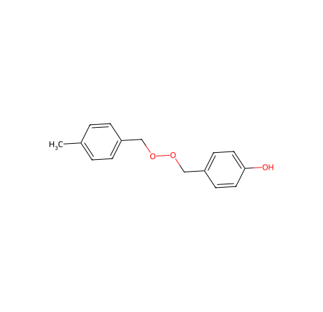 Cc1ccc(COOCc2ccc(O)cc2)cc1